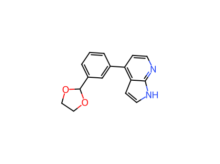 c1cc(-c2ccnc3[nH]ccc23)cc(C2OCCO2)c1